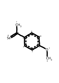 COc1ccc(C(C)=[Se])cc1